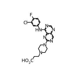 O=C(O)CCN1CCN(c2ncc3ncnc(Nc4ccc(F)c(Cl)c4)c3n2)CC1